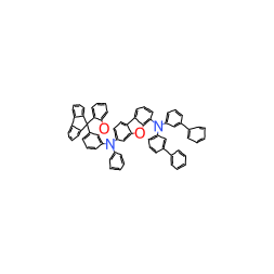 c1ccc(-c2cccc(N(c3cccc(-c4ccccc4)c3)c3cccc4c3oc3cc(N(c5ccccc5)c5cccc6c5Oc5ccccc5C65c6ccccc6-c6ccccc65)ccc34)c2)cc1